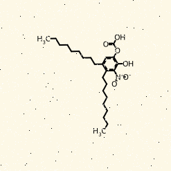 CCCCCCCCCc1cc(OC(=O)O)c(O)c([N+](=O)[O-])c1CCCCCCCCC